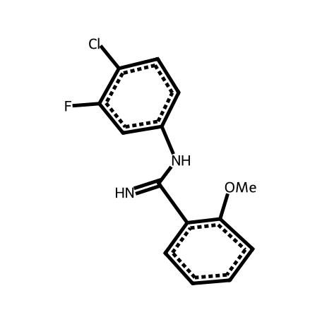 COc1ccccc1C(=N)Nc1ccc(Cl)c(F)c1